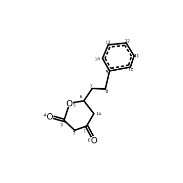 O=C1CC(=O)OC(CCc2ccccc2)C1